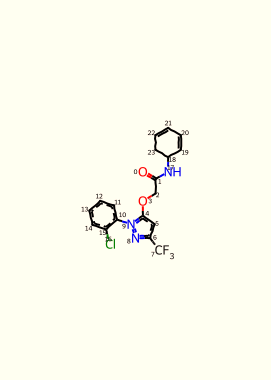 O=C(COc1cc(C(F)(F)F)nn1-c1ccccc1Cl)NC1C=CC=CC1